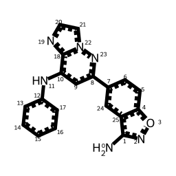 Nc1noc2ccc(-c3cc(Nc4ccccc4)c4nccn4n3)cc12